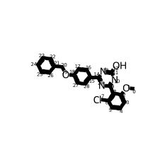 COc1cccc(Cl)c1-c1nc(O)nc(-c2ccc(OCc3ccccc3)cc2)n1